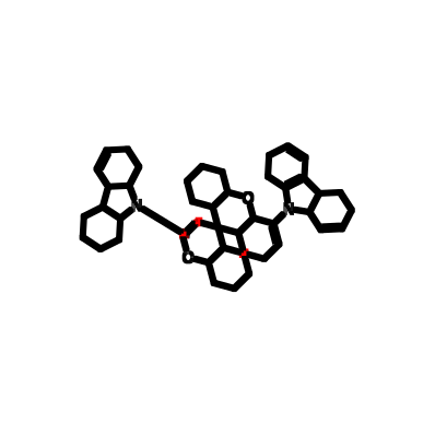 C1=CC2=C(CC1)N(C1=CCCC3C1OC1CCCCC1C31C3CCC(N4C5CCC=CC5C5CCCCC54)C=C3OC3CCCCC31)C1C=CCCC21